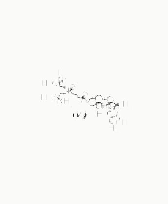 CC[C@H](CC[C@@H](C)C1CCC2C3CC=C4CC(OC(=O)CCCC(=O)N(CCC(C)N)CCC(C)N)CCC4(C)C3CCC21C)C(C)C.Cl.Cl